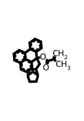 C=C(C)C(=O)OC1(CC2CC3CCC2C3)c2ccccc2-c2cccc3cccc1c23